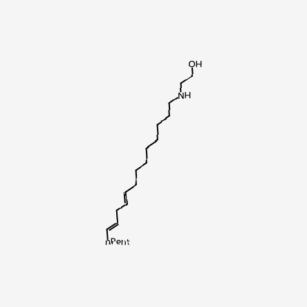 CCCCC/C=C/C/C=C/CCCCCCCCNCCO